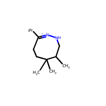 CC(C)/C1=N/NCC(C)C(C)(C)CC1